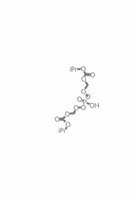 CC(C)OC(=O)OCOOP(=O)(O)OOCOC(=O)OC(C)C